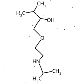 CC(C)NCCOCC(O)C(C)C